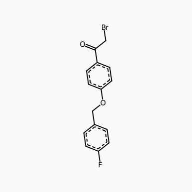 O=C(CBr)c1ccc(OCc2ccc(F)cc2)cc1